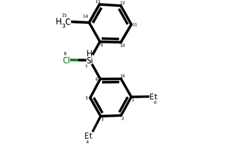 CCc1cc(CC)cc([SiH](Cl)c2ccccc2C)c1